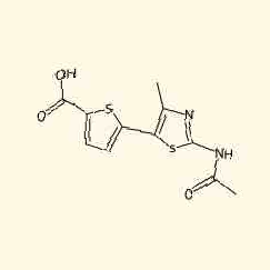 CC(=O)Nc1nc(C)c(-c2ccc(C(=O)O)s2)s1